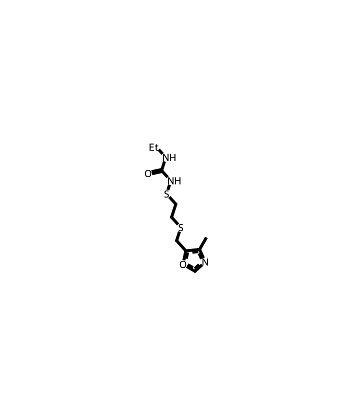 CCNC(=O)NSCCSCc1ocnc1C